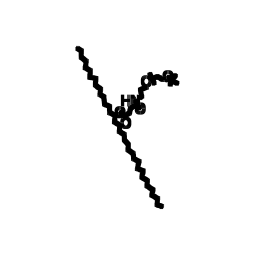 CCCCCCCCCCCCCCCCCCC(CCCCCCCCCCCCCCCCC)OC(=O)CCC(=O)NCCCOC(C)(C)CCOC(C)(C)C